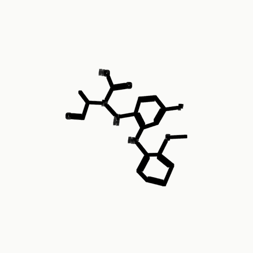 CSc1ccccc1Nc1cc(F)ccc1NN(C(=O)O)C(C)C=O